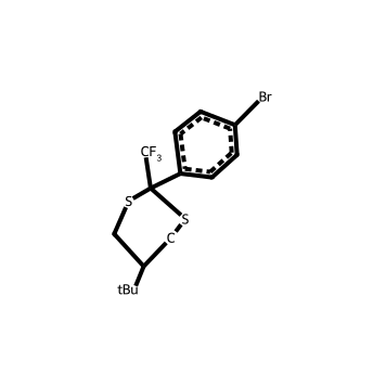 CC(C)(C)C1CSC(c2ccc(Br)cc2)(C(F)(F)F)SC1